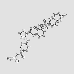 C[S+]([O-])CC(=O)N1CCN(C[C@@H]2CCCN2C(=O)CN2CCC[C@H](NS(=O)(=O)c3ccc4cc(Br)ccc4c3)C2=O)CC1